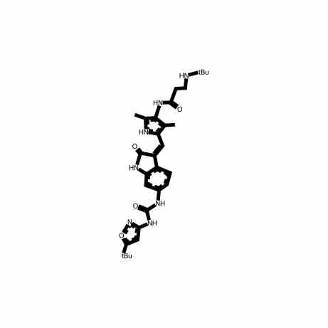 Cc1[nH]c(/C=C2\C(=O)Nc3cc(NC(=O)Nc4cc(C(C)(C)C)on4)ccc32)c(C)c1NC(=O)CCNC(C)(C)C